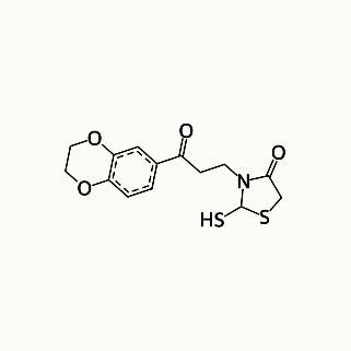 O=C(CCN1C(=O)CSC1S)c1ccc2c(c1)OCCO2